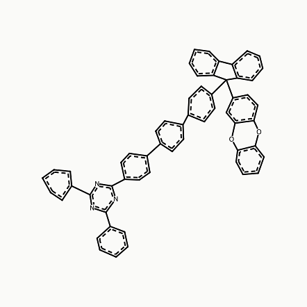 c1ccc(-c2nc(-c3ccccc3)nc(-c3ccc(-c4ccc(-c5ccc(C6(c7ccc8c(c7)Oc7ccccc7O8)c7ccccc7-c7ccccc76)cc5)cc4)cc3)n2)cc1